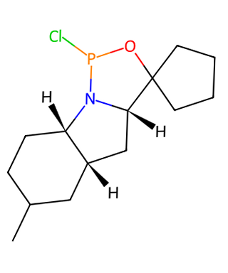 CC1CC[C@H]2[C@@H](C1)C[C@@H]1N2P(Cl)OC12CCCC2